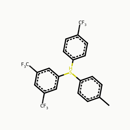 Cc1ccc([SH](c2ccc(C(F)(F)F)cc2)c2cc(C(F)(F)F)cc(C(F)(F)F)c2)cc1